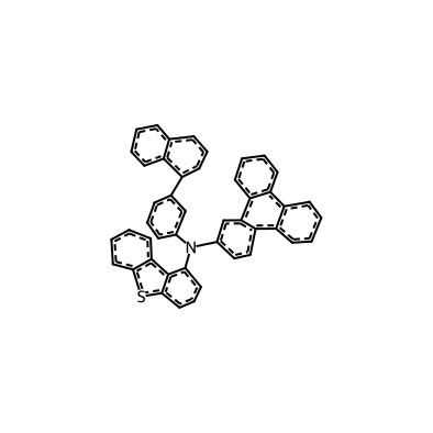 c1cc(-c2cccc3ccccc23)cc(N(c2ccc3c4ccccc4c4ccccc4c3c2)c2cccc3sc4ccccc4c23)c1